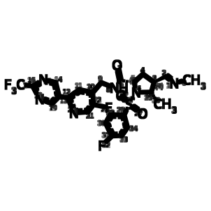 CN=C[C@@H]1C[C@@H](C(=O)NCc2cc(-c3cnc(C(F)(F)F)nc3)ncc2F)N(S(=O)(=O)c2ccc(F)cc2)[C@H]1C